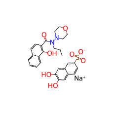 CCCN(C(=O)c1ccc2ccccc2c1O)N1CCOCC1.O=S(=O)([O-])c1ccc2cc(O)c(O)cc2c1.[Na+]